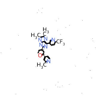 Cc1cc([C@H]2C[C@H](c3nc(-c4ccc(C(F)(F)F)nc4)c4nc(C)c(C)nc4n3)CCO2)ccn1